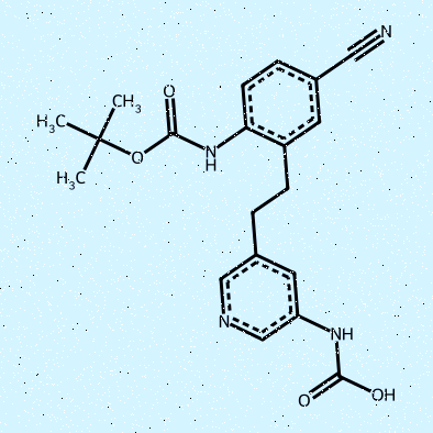 CC(C)(C)OC(=O)Nc1ccc(C#N)cc1CCc1cncc(NC(=O)O)c1